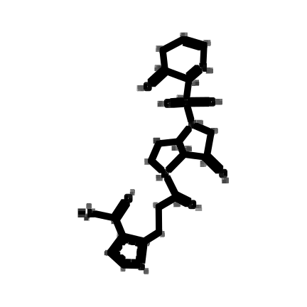 NC(=O)c1ccsc1C[CH]C(=O)N1CCC2C1C(=O)CN2S(=O)(=O)C1=NC=CCC1=O